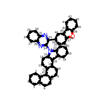 c1ccc2c(c1)ccc1ccc3c(ccc4c3c3ccccc3n4-c3nc4ccccc4nc3-c3ccc4oc5ccccc5c4c3)c12